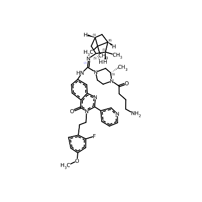 COc1ccc(CCn2c(-c3cccnc3)nc3cc(N/C(=N/[C@H]4C[C@@H]5C[C@H]([C@@H]4C)C5(C)C)N4CCN(C(=O)CCCN)[C@@H](C)C4)ccc3c2=O)c(F)c1